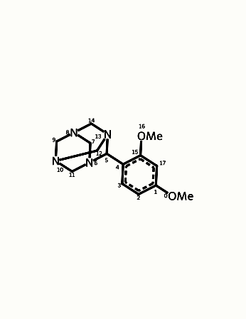 COc1ccc(C2N3CN4CN(C3)CN2C4)c(OC)c1